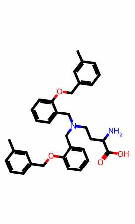 Cc1cccc(COc2ccccc2CN(CCC(N)C(=O)O)Cc2ccccc2OCc2cccc(C)c2)c1